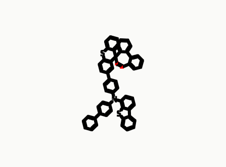 c1ccc(-c2ccc(N(c3ccc(-c4ccc5c(c4)C4(c6ccccc6S5)c5ccccc5-c5ccccc5-c5ccccc54)cc3)c3cccc4c3sc3ccccc34)cc2)cc1